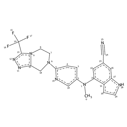 CN(c1ccc(N2CCn3c(nnc3C(F)(F)F)C2)nc1)c1cc(C#N)cc2[nH]ccc12